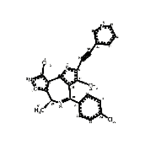 Cc1noc2c1-c1sc(C#Cc3cccnc3)c(C)c1C(c1ccc(Cl)cc1)=N[C@H]2C